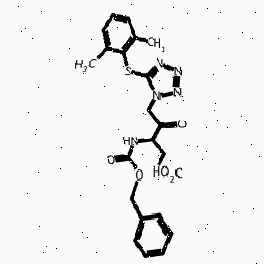 Cc1cccc(C)c1Sc1nnnn1CC(=O)C(CC(=O)O)NC(=O)OCc1ccccc1